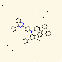 CC1(C)c2ccccc2-c2ccc(N(c3ccc(-c4nc(-c5ccccc5)c5ccccc5n4)cc3)c3cc(-c4ccccc4)cc4c3-c3ccc(-c5ccccc5)cc3C4(C)C)cc21